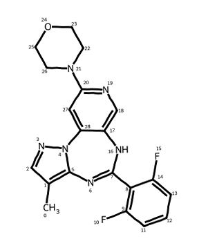 Cc1cnn2c1N=C(c1c(F)cccc1F)Nc1cnc(N3CCOCC3)cc1-2